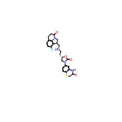 O=C1CSc2ccc(N3C[C@H](CCNCC4CN5C(=O)CCc6ccc(F)c4c65)OC3=O)cc2N1